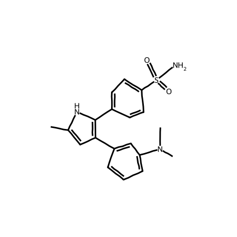 Cc1cc(-c2cccc(N(C)C)c2)c(-c2ccc(S(N)(=O)=O)cc2)[nH]1